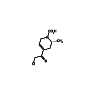 C[C@@H]1CC(C(=O)CCl)=CCN1C(=O)O